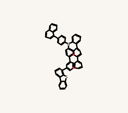 c1ccc(-c2ccc(-c3ccccc3N(c3ccc(-c4cccc(-c5cccc6c5sc5ccccc56)c4)cc3)c3ccc(-c4cccc5ccccc45)cc3)cc2)cc1